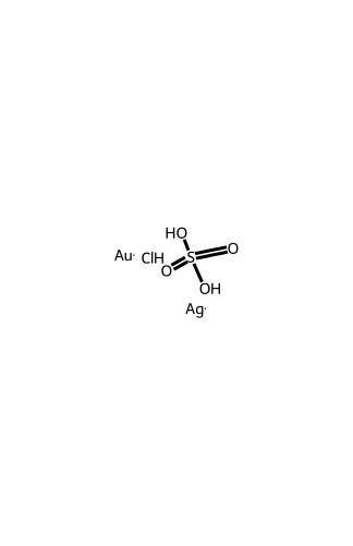 Cl.O=S(=O)(O)O.[Ag].[Au]